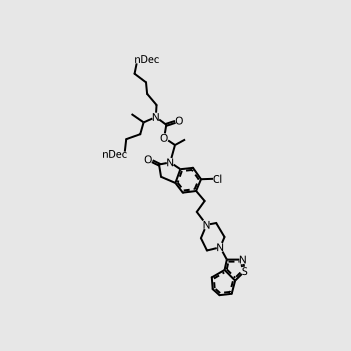 CCCCCCCCCCCCCCN(C(=O)OC(C)N1C(=O)Cc2cc(CCN3CCN(c4nsc5ccccc45)CC3)c(Cl)cc21)C(C)CCCCCCCCCCCC